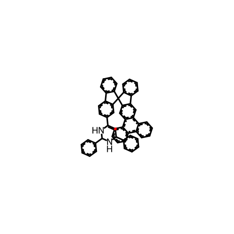 C1=C(c2ccc3c(c2)C2(c4ccccc4-3)c3ccccc3-c3cc4c5ccccc5c5ccccc5c4cc32)NC(c2ccccc2)NC1c1ccccc1